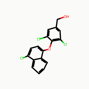 OCc1cc(Cl)c(Oc2ccc(Cl)c3ccccc23)c(Cl)c1